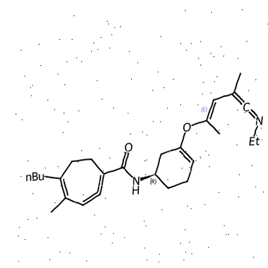 CCCCC1=C(C)C=C=C(C(=O)N[C@@H]2CCC=C(O/C(C)=C/C(C)=C=NCC)C2)CC1